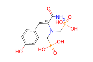 NC(=O)[C@H](Cc1ccc(O)cc1)N(CP(=O)(O)O)CP(=O)(O)O